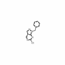 CCc1n[c]c2cnn(Cc3ccccc3)c2n1